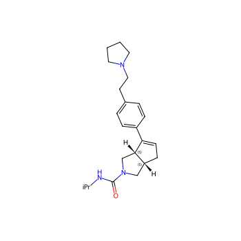 CC(C)NC(=O)N1C[C@H]2CC=C(c3ccc(CCN4CCCC4)cc3)[C@H]2C1